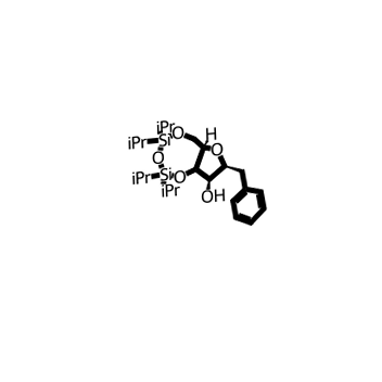 CC(C)[Si]1(C(C)C)OC[C@H]2O[C@@H](Cc3ccccc3)[C@@H](O)C2O[Si](C(C)C)(C(C)C)O1